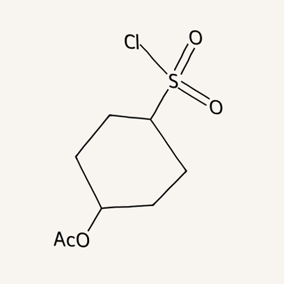 CC(=O)OC1CCC(S(=O)(=O)Cl)CC1